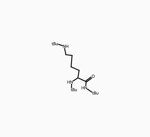 CC(C)(C)NCCCCC(NC(C)(C)C)C(=O)NC(C)(C)C